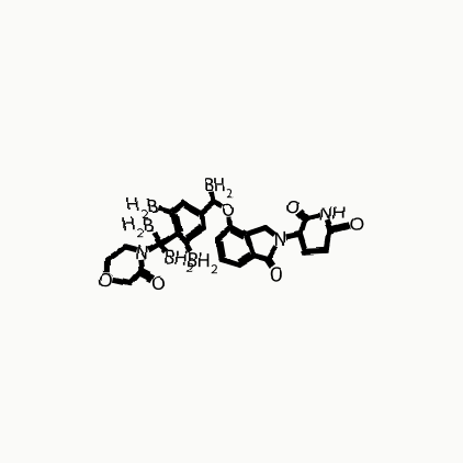 Bc1cc(C(B)Oc2cccc3c2CN(C2CCC(=O)NC2=O)C3=O)cc(B)c1C(B)(B)N1CCOCC1=O